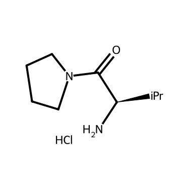 CC(C)[C@@H](N)C(=O)N1CCCC1.Cl